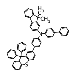 CC1(C)c2ccccc2-c2ccc(N(c3ccc(-c4ccccc4)cc3)c3ccc(-c4ccc5c(c4)C(c4ccccc4)(c4ccccc4)c4ccccc4S5)cc3)cc21